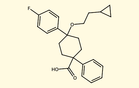 O=C(O)C1(c2ccccc2)CCC(OCCC2CC2)(c2ccc(F)cc2)CC1